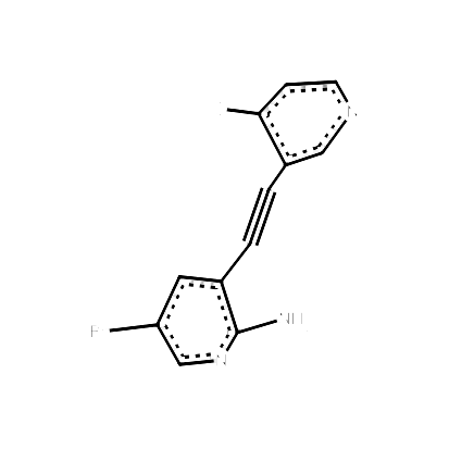 Cc1ccncc1C#Cc1cc(Br)cnc1N